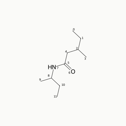 CCC(C)CC(=O)NC(C)CC